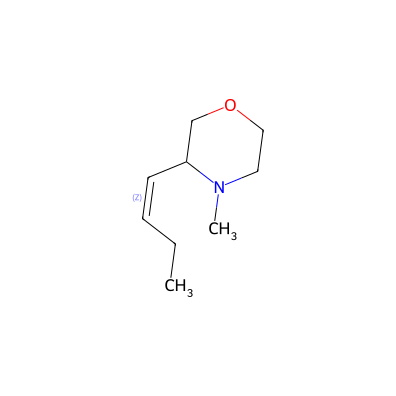 CC/C=C\C1COCCN1C